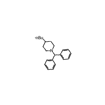 CCC[CH]C1CCN(C(c2ccccc2)c2ccccc2)CC1